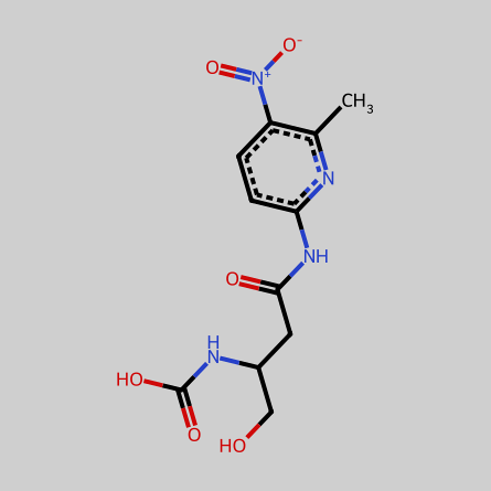 Cc1nc(NC(=O)CC(CO)NC(=O)O)ccc1[N+](=O)[O-]